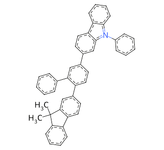 CC1(C)c2ccccc2-c2ccc(-c3ccc(-c4ccc5c6ccccc6n(-c6ccccc6)c5c4)cc3-c3ccccc3)cc21